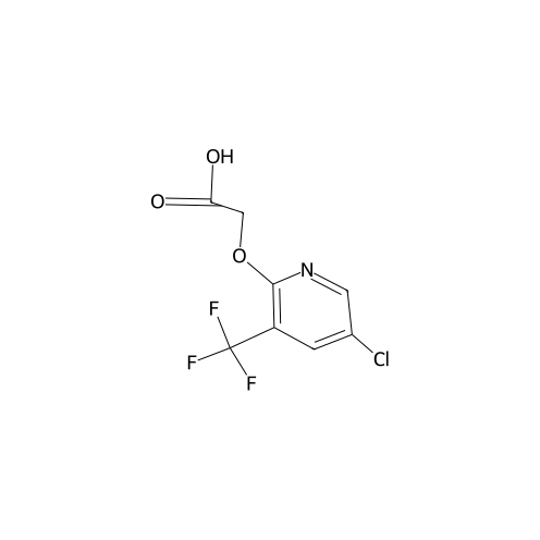 O=C(O)COc1ncc(Cl)cc1C(F)(F)F